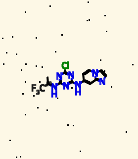 C[C@@H](Nc1nc(Cl)nc(Nc2ccn3ccnc3c2)n1)C(F)(F)F